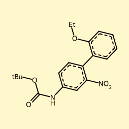 CCOc1ccccc1-c1ccc(NC(=O)OC(C)(C)C)cc1[N+](=O)[O-]